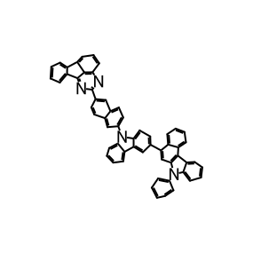 c1ccc(-n2c3ccccc3c3c4ccccc4c(-c4ccc5c(c4)c4ccccc4n5-c4ccc5cc(-c6nc7c8c(cccc8n6)-c6ccccc6-7)ccc5c4)cc32)cc1